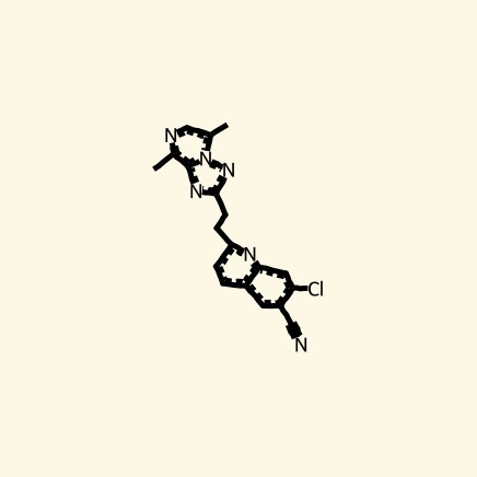 Cc1ncc(C)n2nc(CCc3ccc4cc(C#N)c(Cl)cc4n3)nc12